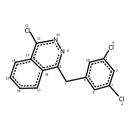 Clc1cc(Cl)cc(Cc2nnc(Cl)c3ccccc23)c1